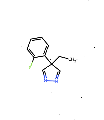 [CH2]CC1(c2ccccc2F)C=NN=C1